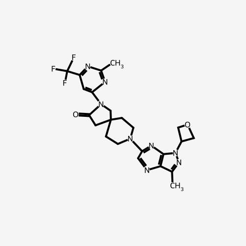 Cc1nc(N2CC3(CCN(c4cnc5c(C)nn(C6COC6)c5n4)CC3)CC2=O)cc(C(F)(F)F)n1